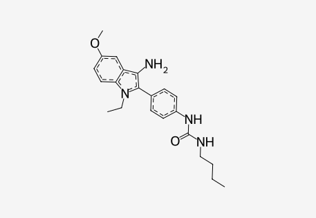 CCCCNC(=O)Nc1ccc(-c2c(N)c3cc(OC)ccc3n2CC)cc1